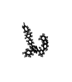 c1ccc(-c2ccc(-c3ccc(-c4nc(-c5ccccc5)nc(-c5cccc(-c6ccc7sc8ccccc8c7c6)c5)n4)cc3)cc2)cc1